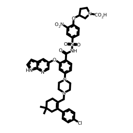 CC1(C)CCC(CN2CCN(c3ccc(C(=O)NS(=O)(=O)c4ccc(OC5CCN(C(=O)O)C5)c([N+](=O)[O-])c4)c(Oc4cnc5[nH]ccc5c4)c3)CC2)=C(c2ccc(Cl)cc2)C1